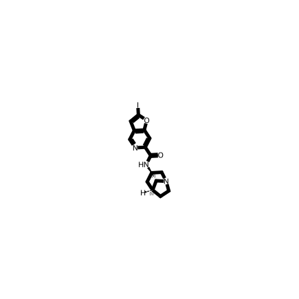 O=C(N[C@@H]1C[C@@H]2CCN(C2)C1)c1cc2oc(I)cc2cn1